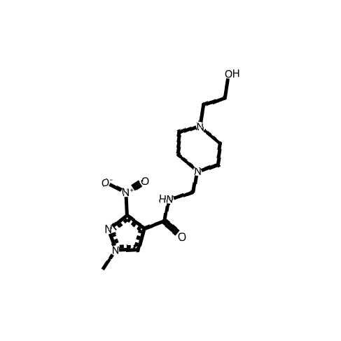 Cn1cc(C(=O)NCN2CCN(CCO)CC2)c([N+](=O)[O-])n1